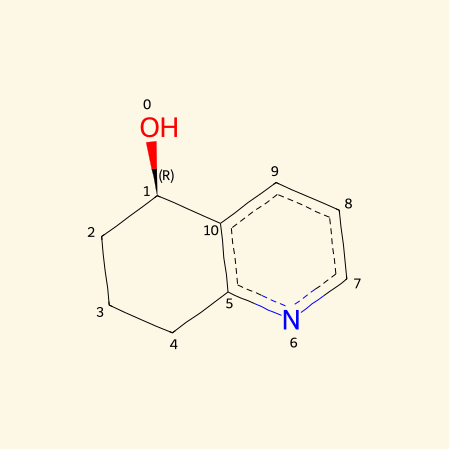 O[C@@H]1CCCc2ncccc21